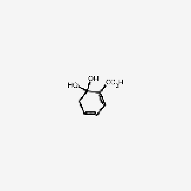 O=C(O)C1=CC=CCC1(O)O